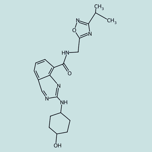 CC(C)c1noc(CNC(=O)c2cccc3cnc(NC4CCC(O)CC4)nc23)n1